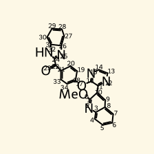 COc1nc2ccccc2cc1-c1nccnc1Oc1ccc(C(=O)c2nc3ccccc3[nH]2)cc1